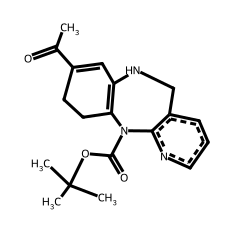 CC(=O)C1=CC2=C(CC1)N(C(=O)OC(C)(C)C)c1ncccc1CN2